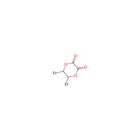 CCC1OC(=O)C(=O)OC1CC